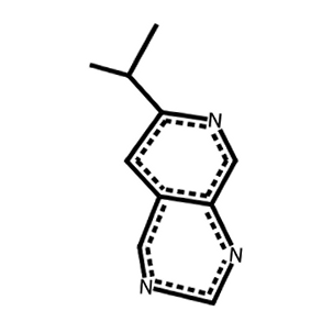 CC(C)c1cc2cncnc2cn1